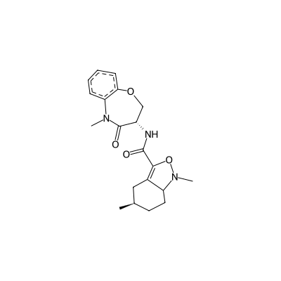 C[C@@H]1CCC2C(=C(C(=O)N[C@H]3COc4ccccc4N(C)C3=O)ON2C)C1